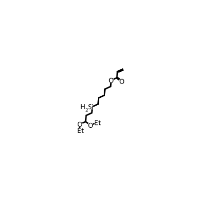 C=CC(=O)OCCCCC[SiH2]CCC(OCC)OCC